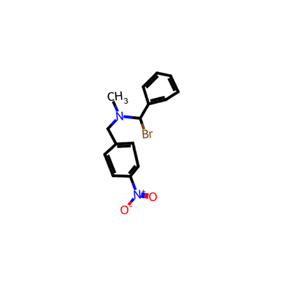 CN(Cc1ccc([N+](=O)[O-])cc1)C(Br)c1ccccc1